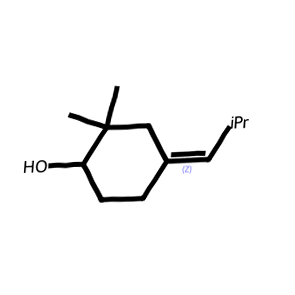 CC(C)/C=C1/CCC(O)C(C)(C)C1